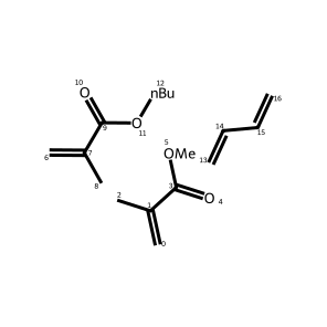 C=C(C)C(=O)OC.C=C(C)C(=O)OCCCC.C=CC=C